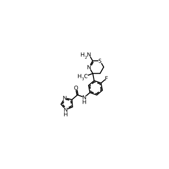 CC1(c2cc(NC(=O)c3c[nH]cn3)ccc2F)CCSC(N)=N1